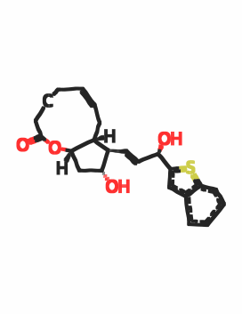 O=C1CCC/C=C\C[C@@H]2[C@@H](/C=C/[C@@H](O)c3cc4ccccc4s3)[C@H](O)C[C@@H]2O1